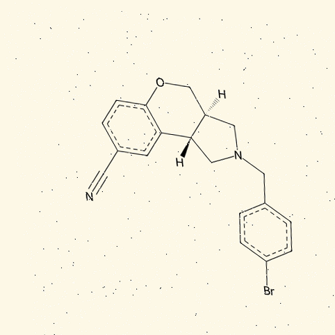 N#Cc1ccc2c(c1)[C@H]1CN(Cc3ccc(Br)cc3)C[C@@H]1CO2